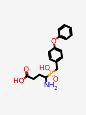 NC(CCC(=O)O)P(=O)(O)Cc1ccc(Oc2ccccc2)cc1